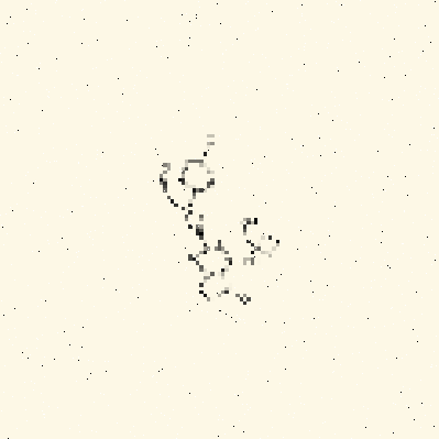 N#CCC1(c2ccc(Cl)cc2)CN(c2nc3c(c(NC4(CO)CCC4)n2)[S@+]([O-])CC3)C1